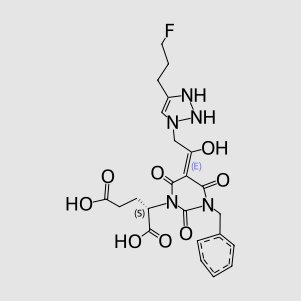 O=C(O)CC[C@@H](C(=O)O)N1C(=O)/C(=C(/O)CN2C=C(CCCF)NN2)C(=O)N(Cc2ccccc2)C1=O